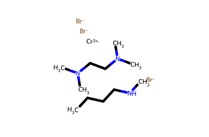 CCCCNC.CN(C)CCN(C)C.[Br-].[Br-].[Br-].[Cr+3]